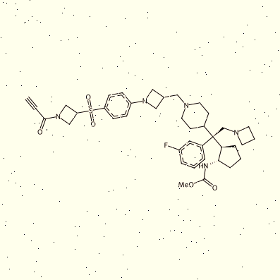 C#CC(=O)N1CC(S(=O)(=O)c2ccc(N3CC(CN4CCC([C@@](CN5CCC5)(c5cccc(F)c5)[C@H]5CCC[C@@H]5NC(=O)OC)CC4)C3)cc2)C1